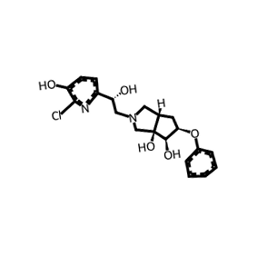 Oc1ccc([C@H](O)CN2C[C@@H]3C[C@@H](Oc4ccccc4)[C@@H](O)[C@]3(O)C2)nc1Cl